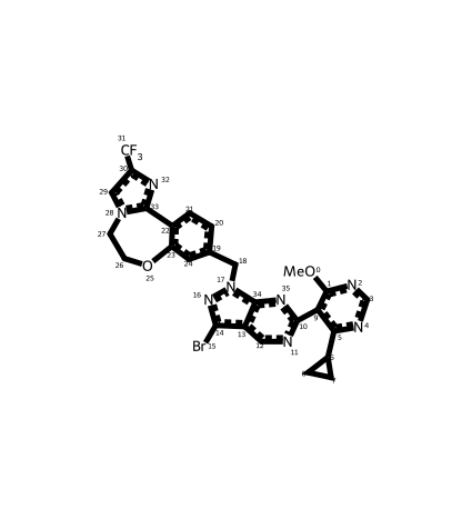 COc1ncnc(C2CC2)c1-c1ncc2c(Br)nn(Cc3ccc4c(c3)OCCn3cc(C(F)(F)F)nc3-4)c2n1